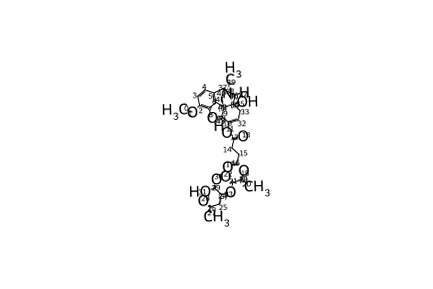 COc1ccc2c3c1O[C@H]1C(OC(=O)CCC(=O)O[C@@H](C)C(=O)O[C@@H](CC(C)=O)C(=O)O)=CC[C@@]4(O)[C@@H](C2)N(C)CC[C@]314